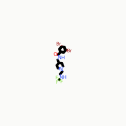 O=C(NCC1CCN(CCNC(F)(F)F)CC1)c1cc(Br)cc(Br)c1